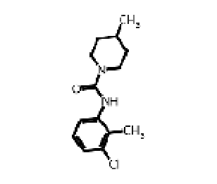 Cc1c(Cl)cccc1NC(=O)N1CCC(C)CC1